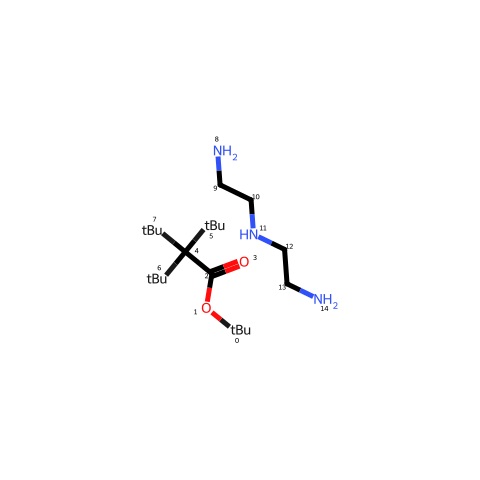 CC(C)(C)OC(=O)C(C(C)(C)C)(C(C)(C)C)C(C)(C)C.NCCNCCN